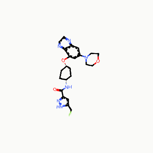 O=C(N[C@H]1CC[C@@H](Oc2cc(N3CCOCC3)cc3nccnc23)CC1)c1cc(CF)[nH]n1